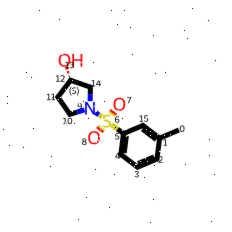 Cc1cccc(S(=O)(=O)N2CC[C@H](O)C2)c1